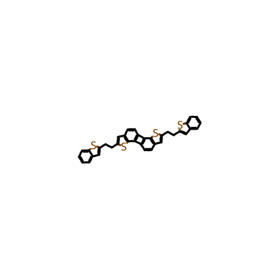 c1ccc2sc(CCc3cc4ccc5c(c4s3)-c3ccc4cc(CCc6cc7ccccc7s6)sc4c3-5)cc2c1